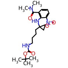 CN(C)C(=O)c1cccc([N+](=O)[O-])c1NC1(CCCCNC(=O)OC(C)(C)C)CC1